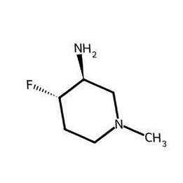 CN1CC[C@H](F)[C@@H](N)C1